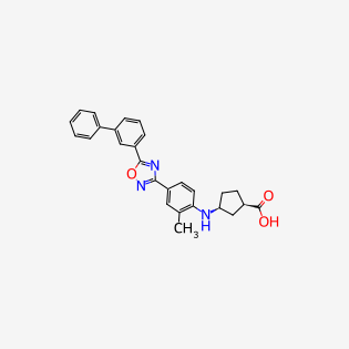 Cc1cc(-c2noc(-c3cccc(-c4ccccc4)c3)n2)ccc1N[C@H]1CC[C@@H](C(=O)O)C1